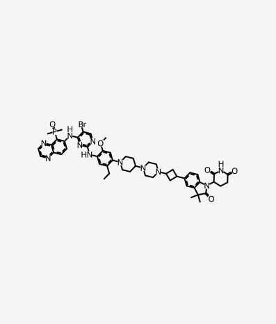 CCc1cc(Nc2ncc(Br)c(Nc3ccc4nccnc4c3P(C)(C)=O)n2)c(OC)cc1N1CCC(N2CCN(C3CC(c4ccc5c(c4)C(C)(C)C(=O)N5C4CCC(=O)NC4=O)C3)CC2)CC1